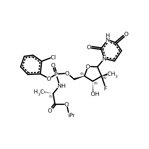 CC(C)OC(=O)[C@H](C)NP(=O)(OC[C@H]1OC(n2ccc(=O)[nH]c2=O)[C@](C)(F)[C@@H]1O)Oc1ccccc1Cl